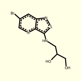 OCC(O)CNc1snc2cc(Br)cnc12